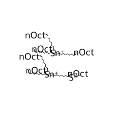 CCCCCCCC/C=C\CCCCCCC[CH2][Sn+]([CH2]CCCCCCC/C=C\CCCCCCCC)[CH2]CCCCCCC/C=C\CCCCCCCC.CCCCCCCC/C=C\CCCCCCC[CH2][Sn+]([CH2]CCCCCCC/C=C\CCCCCCCC)[CH2]CCCCCCC/C=C\CCCCCCCC.[S-2]